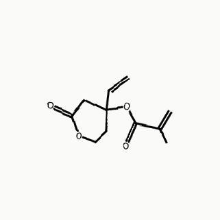 C=CC1(OC(=O)C(=C)C)CCOC(=O)C1